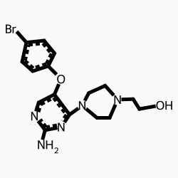 Nc1ncc(Oc2ccc(Br)cc2)c(N2CCN(CCO)CC2)n1